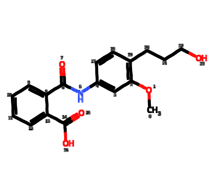 COc1cc(NC(=O)c2ccccc2C(=O)O)ccc1CCCO